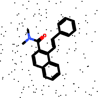 CN(C)C(=O)c1ccc2ccccc2c1/C=C/c1ccccc1